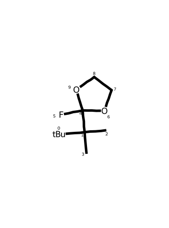 CC(C)(C)C(C)(C)C1(F)OCCO1